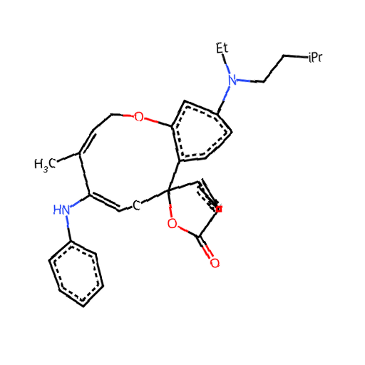 CCN(CCC(C)C)c1ccc2c(c1)OC/C=C(C)\C(Nc1ccccc1)=C/CC21OC(=O)c2ccccc21